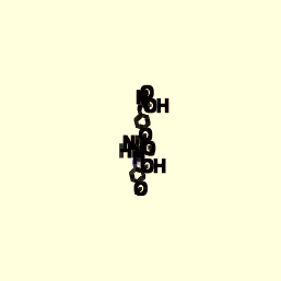 COc1ccc(/C=N/NC(=O)COc2ccc(CN(O)N=O)cc2)c(O)c1.N